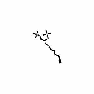 C#CCCCCOC[C@H](CO[Si](C)(C)C)O[Si](C)(C)C